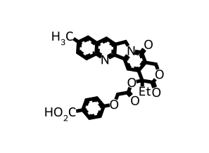 CCC1(OC(=O)COc2ccc(C(=O)O)cc2)C(=O)OCc2c1cc1n(c2=O)Cc2cc3cc(C)ccc3nc2-1